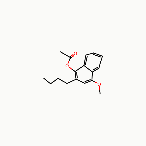 CCCCc1cc(OC)c2ccccc2c1OC(C)=O